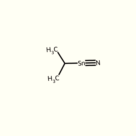 C[CH](C)[Sn]#[N]